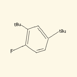 CC(C)(C)c1ccc(F)c(C(C)(C)C)c1